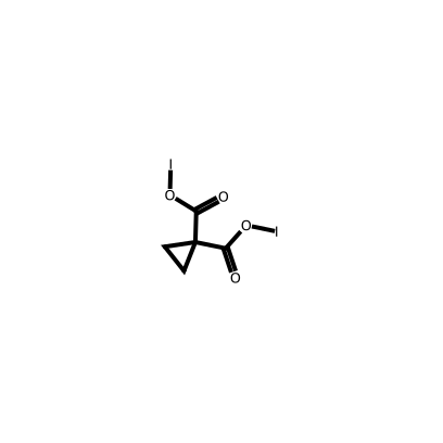 O=C(OI)C1(C(=O)OI)CC1